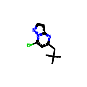 CC(C)(C)Cc1cc(Cl)n2nccc2n1